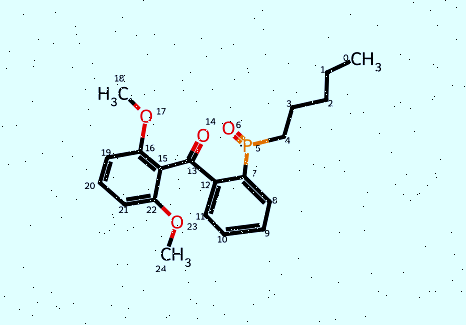 CCCCC[P](=O)c1ccccc1C(=O)c1c(OC)cccc1OC